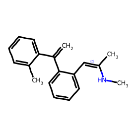 C=C(c1ccccc1C)c1ccccc1/C=C(/C)NC